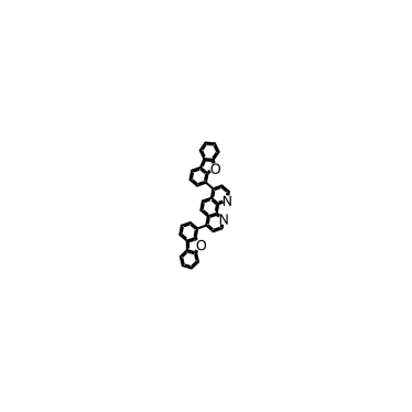 c1ccc2c(c1)oc1c(-c3ccnc4c3ccc3c(-c5cccc6c5oc5ccccc56)ccnc34)cccc12